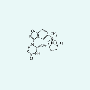 CN1C[C@H]2CC[C@@H](C1)N2Cc1ccc2onc(-n3ccc(=O)[nH]c3=O)c2c1